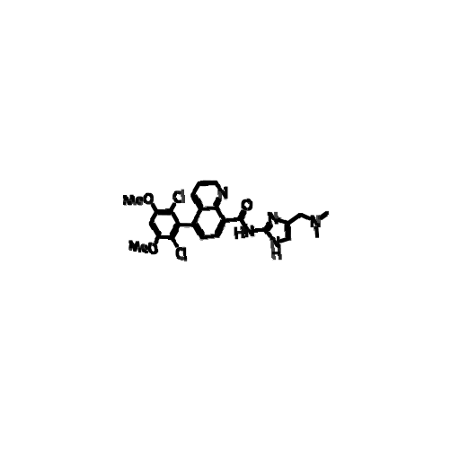 COc1cc(OC)c(Cl)c(-c2ccc(C(=O)Nc3nc(CN(C)C)c[nH]3)c3ncccc23)c1Cl